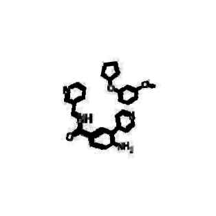 COc1cccc(OC2CCCC2)c1.Nc1ccc(C(=O)NCc2cccnc2)cc1-c1ccncc1